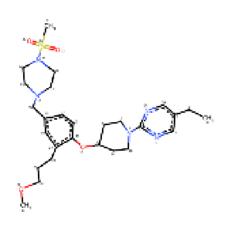 CCc1cnc(N2CCC(Oc3ccc(CN4CCN(S(C)(=O)=O)CC4)cc3CCCOC)CC2)nc1